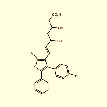 CC(C)c1sc(-c2ccccc2)c(-c2ccc(F)cc2)c1/C=C/C(O)CC(O)CC(=O)O